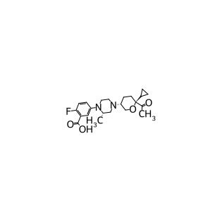 CC(=O)[C@@]1(C2CC2)CC[C@@H](N2CCN(c3ccc(F)c(C(=O)O)c3)[C@@H](C)C2)CO1